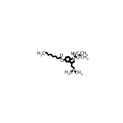 CCCCCCCC(=O)Oc1ccc2c(c1)c(CCN(C)C)cn2C(=O)OC(C)(C)C